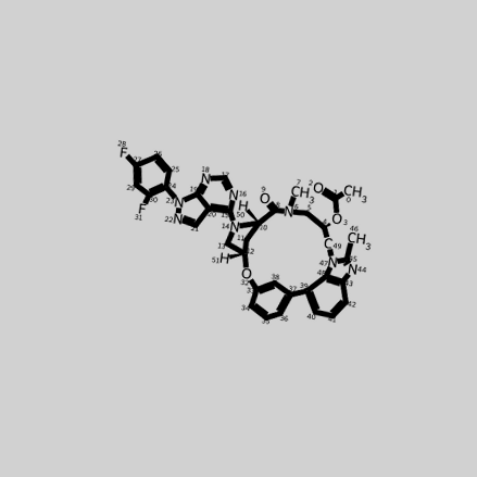 CC(=O)O[C@H]1CN(C)C(=O)[C@@H]2C[C@@H](CN2c2ncnc3c2cnn3-c2ccc(F)cc2F)Oc2cccc(c2)-c2cccc3nc(C)n(c23)C1